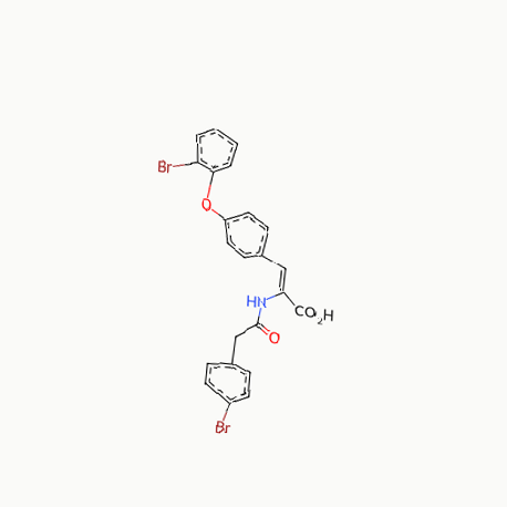 O=C(Cc1ccc(Br)cc1)N/C(=C\c1ccc(Oc2ccccc2Br)cc1)C(=O)O